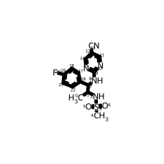 CC(NS(C)(=O)=O)C(Nc1ncc(C#N)cn1)c1ccc(F)cc1